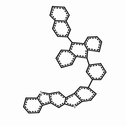 c1cc(-c2ccc3sc4cc5c(cc4c3c2)sc2ccccc25)cc(-c2c3ccccc3c(-c3ccc4ccccc4c3)c3ccccc23)c1